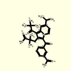 CC(C)c1ccn2c(C(=O)c3cccc(C(=O)O)c3)c(CC(C)(C)C(=O)O)c(C(=O)C(C)(C)C)c2c1